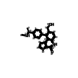 CN[C@@H](C)c1ccc(-c2c(CO)ccc3[nH]c(=O)c4sccc4c23)cc1